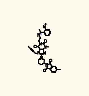 C=Nc1ccccc1/C(C)=N\CCn1c(=O)c2c(nc(N3CCCC(N4C(=O)c5ccc(C)cc5C4=O)C3)n2CC#CC)n(C)c1=O